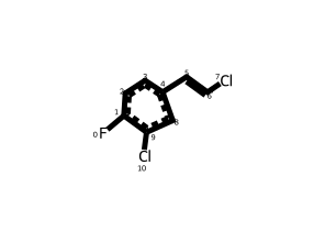 Fc1ccc(C=[C]Cl)cc1Cl